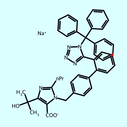 CCCc1nc(C(C)(C)O)c(C(=O)[O-])n1Cc1ccc(-c2ccccc2-c2nnnn2C(c2ccccc2)(c2ccccc2)c2ccccc2)cc1.[Na+]